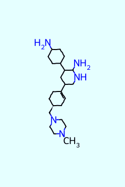 CN1CCN(C[C@@H]2CC=C(C3CNC(N)C(C4CCC(N)CC4)C3)CC2)CC1